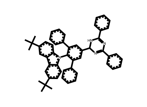 CC(C)(C)c1ccc2c(c1)c1cc(C(C)(C)C)ccc1n2-c1c(-c2ccccc2)cc(C2N=C(c3ccccc3)N=C(c3ccccc3)N2)cc1-c1ccccc1